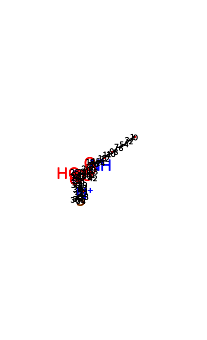 CCCCCCCCCCCCCCCCNC(=O)OCC(COP(O)Oc1ccc(C[n+]2csc(C)c2)cc1)OC(C)C